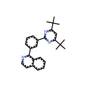 CC(C)(C)c1cc(C(C)(C)C)nc(-c2cccc(-c3nccc4ccccc34)c2)n1